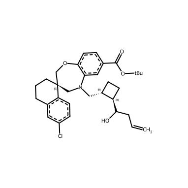 C=CCC(O)[C@@H]1CC[C@H]1CN1C[C@@]2(CCCc3cc(Cl)ccc32)COc2ccc(C(=O)OC(C)(C)C)cc21